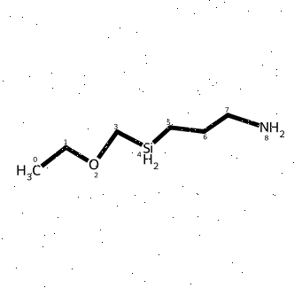 CCOC[SiH2]CCCN